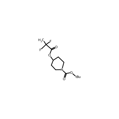 CC(C)(C)OC(=O)N1CCC(OC(=O)C(C)(F)F)CC1